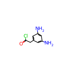 Nc1cc(N)cc(CC(=O)Cl)c1